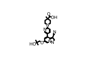 CC(C)(O)COc1cc(-c2ccc(N3CCC(C)(C(=O)O)CC3)nc2)c2c(C#N)cnn2c1